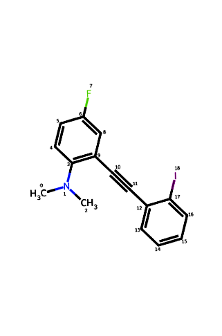 CN(C)c1ccc(F)cc1C#Cc1ccccc1I